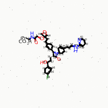 CC(C)C(NC(=O)COC1(CCc2ccc(C3[C@@H](CCC(O)c4ccc(F)cc4)C(=O)N3c3ccc(CCCNc4ccccn4)cc3)cc2)COC1)C(=O)O